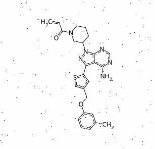 C=CC(=O)N1CCCC(n2nc(-c3cc(COc4cccc(C)c4)cs3)c3c(N)ncnc32)C1